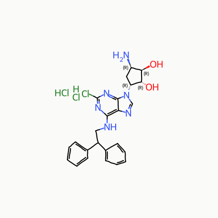 Cl.Cl.N[C@@H]1C[C@@H](n2cnc3c(NCC(c4ccccc4)c4ccccc4)nc(Cl)nc32)[C@@H](O)[C@@H]1O